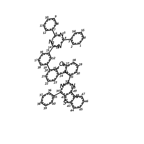 c1ccc(-c2nc(-c3ccccc3)nc(-c3cccc(-c4cccc5c4oc4cccc(-c6nc(-c7ccccc7)c7sc8ccccc8c7n6)c45)c3)n2)cc1